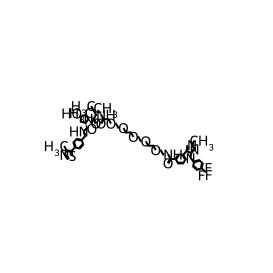 Cc1ncsc1-c1ccc(CNC(=O)[C@H]2C[C@H](O)CN2C(=O)[C@H](NC(=O)COCCOCCOCCOCCOCCNC(=O)c2ccc3c(c2)c2cn(C)nc2n3-c2ccc(C(F)(F)F)cc2)C(C)(C)C)cc1